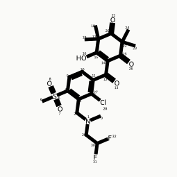 CN(Cc1c(S(C)(=O)=O)ccc(C(=O)C2=C(O)C(C)(C)C(=O)C(C)(C)C2=O)c1Cl)CC(F)F